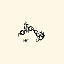 Cl.N[C@@H](CC(=O)N1CCc2c(nc(-c3ccc(F)cc3)nc2C(F)(F)F)C1)CN1C(=O)CCC(F)(F)C1O